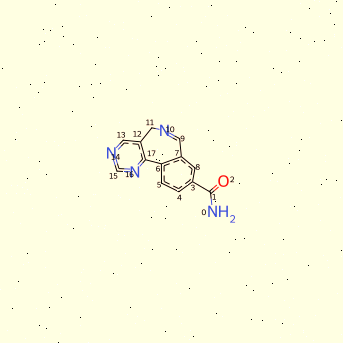 NC(=O)c1ccc2c(c1)C=NCc1cncnc1-2